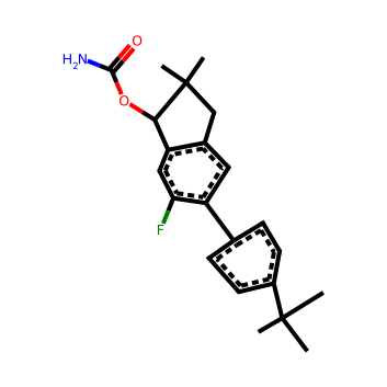 CC(C)(C)c1ccc(-c2cc3c(cc2F)C(OC(N)=O)C(C)(C)C3)cc1